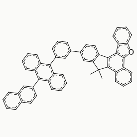 CC1(C)c2cc(-c3cccc(-c4c5ccccc5c(-c5ccc6ccccc6c5)c5ccccc45)c3)ccc2-c2c1c1ccccc1c1oc3ccccc3c21